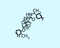 Cc1ncccc1O[C@H]1CO[C@H]2[C@@H]1OC[C@@H]2NC(=O)NC(C)c1ccc(F)cc1